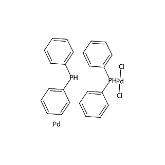 [Cl][Pd][Cl].[Pd].c1ccc(Pc2ccccc2)cc1.c1ccc(Pc2ccccc2)cc1